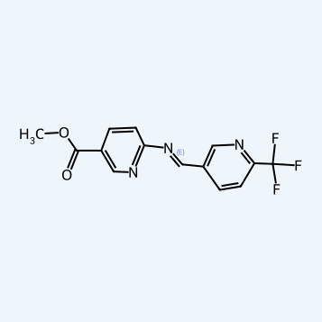 COC(=O)c1ccc(/N=C/c2ccc(C(F)(F)F)nc2)nc1